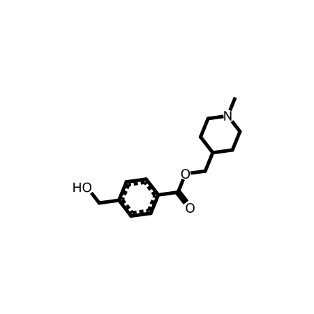 CN1CCC(COC(=O)c2ccc(CO)cc2)CC1